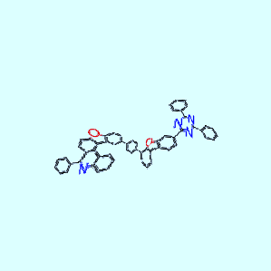 c1ccc(-c2nc(-c3ccccc3)nc(-c3ccc4c(c3)oc3c(-c5ccc(-c6ccc7oc8ccc9c(-c%10ccccc%10)nc%10ccccc%10c9c8c7c6)cc5)cccc34)n2)cc1